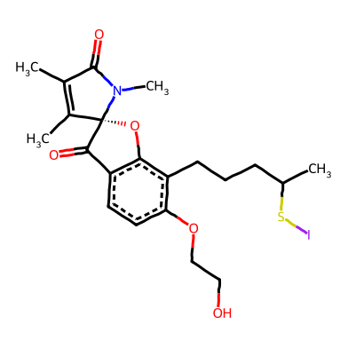 CC1=C(C)[C@@]2(Oc3c(ccc(OCCO)c3CCCC(C)SI)C2=O)N(C)C1=O